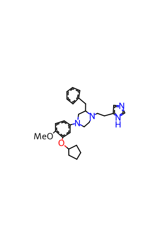 COc1ccc(N2CCN(CCc3cnc[nH]3)C(Cc3ccccc3)C2)cc1OC1CCCC1